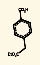 CCOC(=O)Cc1ccc(C(=O)O)cc1